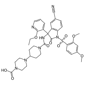 CCOc1ncccc1C1(NC(=O)N2CCC(N3CCN(C(=O)O)CC3)CC2)C(=O)N(S(=O)(=O)c2ccc(OC)cc2OC)c2ccc(C#N)cc21